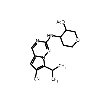 CC(=O)OC1COCCC1Nc1ncc2cc(C#N)c(C(C)C(F)(F)F)n2n1